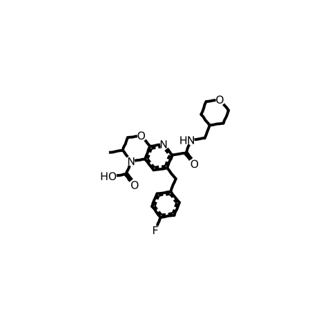 CC1COc2nc(C(=O)NCC3CCOCC3)c(Cc3ccc(F)cc3)cc2N1C(=O)O